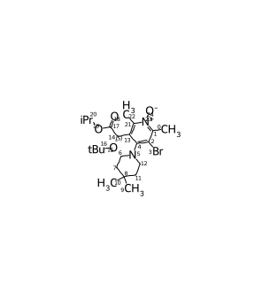 Cc1c(Br)c(N2CCC(C)(C)CC2)c([C@H](OC(C)(C)C)C(=O)OC(C)C)c(C)[n+]1[O-]